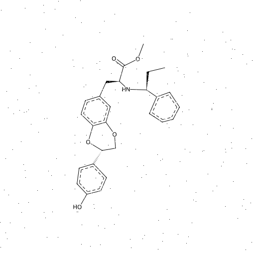 CC[C@H](N[C@@H](Cc1ccc2c(c1)OC[C@H](c1ccc(O)cc1)O2)C(=O)OC)c1ccccc1